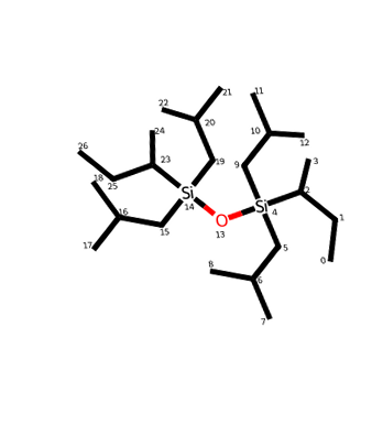 CCC(C)[Si](CC(C)C)(CC(C)C)O[Si](CC(C)C)(CC(C)C)C(C)CC